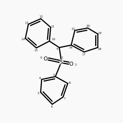 O=S(=O)(c1ccccc1)C(c1ccccc1)c1ccccc1